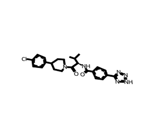 CC(C)[C@@H](NC(=O)c1ccc(-c2nn[nH]n2)cc1)C(=O)N1CCC(c2ccc(Cl)cc2)CC1